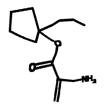 C=C(N)C(=O)OC1(CC)CCCC1